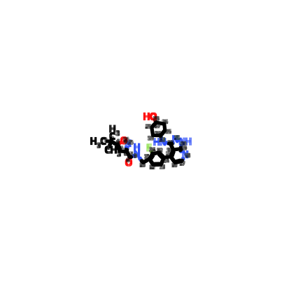 CC(C)(C)c1cc(C(=O)NCc2ccc(-c3ccnc4[nH]nc(NC5CCC(O)CC5)c34)cc2F)no1